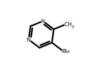 CCC(C)c1cncnc1C